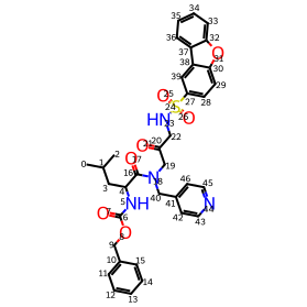 CC(C)CC(NC(=O)OCc1ccccc1)C(=O)N(CC(=O)CNS(=O)(=O)c1ccc2oc3ccccc3c2c1)Cc1ccncc1